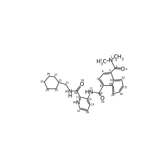 CN(C)C(=O)c1ccc(C(=O)Nc2cccnc2C(=O)NCC2CCCCC2)c2ccccc12